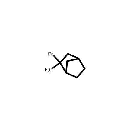 CC(C)C1(C(F)(F)F)CC2CCC1C2